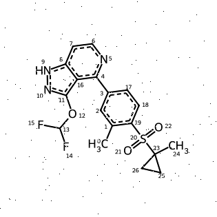 Cc1cc(-c2nccc3[nH]nc(OC(F)F)c23)ccc1S(=O)(=O)C1(C)CC1